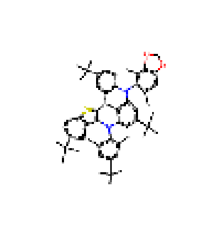 Cc1cc(C(C)(C)C)cc(C)c1N1c2cc(C(C)(C)C)cc3c2B(c2cc(C(C)(C)C)ccc2N3c2c(C)cc3c(c2C)OCO3)c2sc3ccc(C(C)(C)C)cc3c21